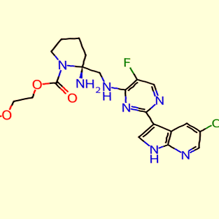 COCCOC(=O)N1CCCC[C@]1(N)CNc1nc(-c2c[nH]c3ncc(Cl)cc23)ncc1F